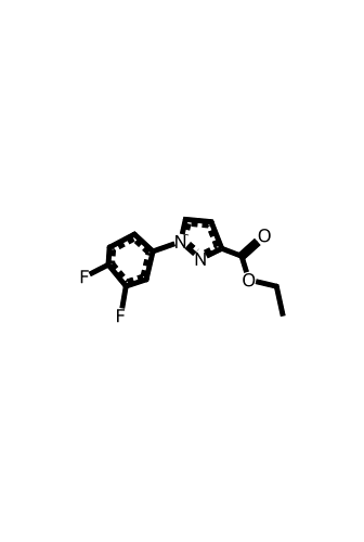 CCOC(=O)c1ccn(-c2ccc(F)c(F)c2)n1